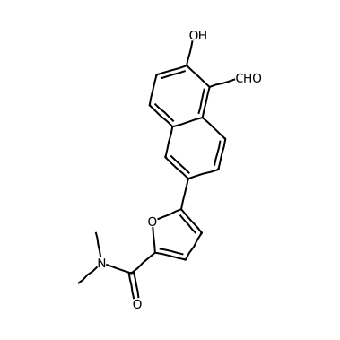 CN(C)C(=O)c1ccc(-c2ccc3c(C=O)c(O)ccc3c2)o1